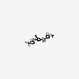 C#Cc1cc(-c2nc(-c3ccc(OC(C)C)c(Cl)c3)no2)ccc1NC1CCC(C(=O)O)C1